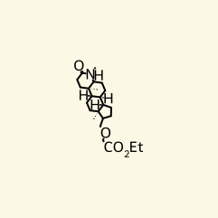 CCOC(=O)COCC1CC[C@H]2[C@@H]3CC[C@H]4N(C)C(=O)CC[C@]4(C)[C@H]3CC[C@]12C